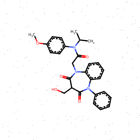 COc1ccc(N(C(=O)CN2C(=O)C(CO)C(=O)N(c3ccccc3)c3ccccc32)C(C)C)cc1